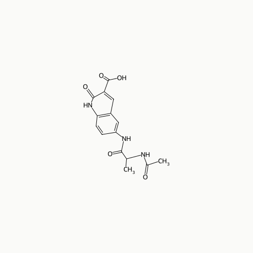 CC(=O)NC(C)C(=O)Nc1ccc2[nH]c(=O)c(C(=O)O)cc2c1